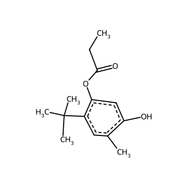 CCC(=O)Oc1cc(O)c(C)cc1C(C)(C)C